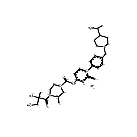 CC(N)C1CCN(Cc2ccc(-n3ccc(NC(=O)N4CCN(C(=O)C(C)(N)CO)[C@H](C)C4)nc3=O)cc2)CC1.Cl